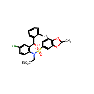 CCOC(=O)CN(c1ccc(Cl)cc1C(O)c1ccccc1C)S(=O)(=O)c1ccc2c(c1)OC(C)O2